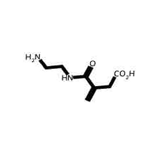 C=C(CC(=O)O)C(=O)NCCN